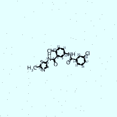 Cc1ncc(NC(=O)c2cc(NC(=O)c3cccc(Cl)c3)ccc2Cl)s1